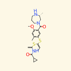 C=C(NC(=O)C1CC1)S/C(=C\C)Sc1cc(C(=O)N2CCCN[C@H](C)C2)c(OC)cc1C